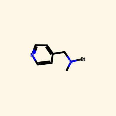 CCN(C)Cc1ccncc1